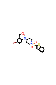 O=S(=O)(c1cc2ccccc2s1)N1CCC(N2COCc3cc(Br)ccc32)CC1